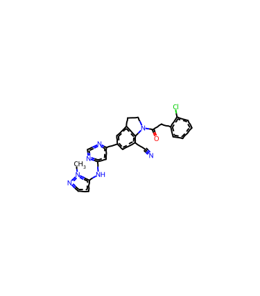 Cn1nccc1Nc1cc(-c2cc(C#N)c3c(c2)CCN3C(=O)Cc2ccccc2Cl)ncn1